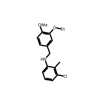 CCOc1cc(CNc2cccc(Cl)c2C)ccc1OC